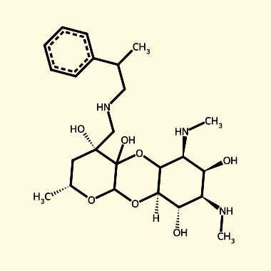 CN[C@@H]1[C@H](O)[C@H](NC)C2OC3(O)C(O[C@H](C)C[C@@]3(O)CNCC(C)c3ccccc3)O[C@@H]2[C@H]1O